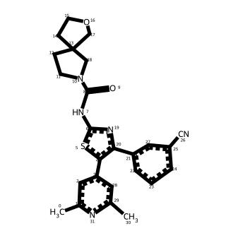 Cc1cc(-c2sc(NC(=O)N3CCC4(CCOC4)C3)nc2-c2cccc(C#N)c2)cc(C)n1